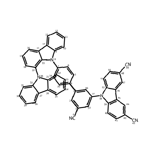 N#Cc1cc(-c2ccc(-n3c4ccccc4c4cccc(-n5c6ccccc6c6ccccc65)c43)cc2)cc(-n2c3ccc(C#N)cc3c3cc(C#N)ccc32)c1